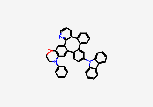 c1ccc(N2CCOc3cc4c(cc32)-c2ccc(-n3c5ccccc5c5ccccc53)cc2-c2ccccc2-c2cccnc2-4)cc1